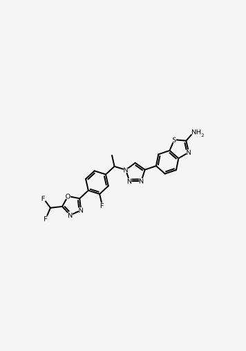 CC(c1ccc(-c2nnc(C(F)F)o2)c(F)c1)n1cc(-c2ccc3nc(N)sc3c2)nn1